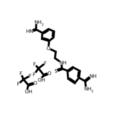 N=C(N)c1ccc(C(=S)NCCOc2cccc(C(=N)N)c2)cc1.O=C(O)C(F)(F)F.O=C(O)C(F)(F)F